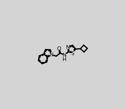 O=C(Cn1ccc2ccccc21)Nc1ncc(C2CCC2)s1